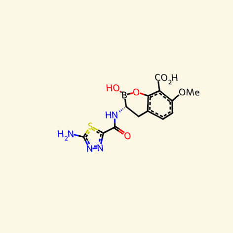 COc1ccc2c(c1C(=O)O)OB(O)[C@@H](NC(=O)c1nnc(N)s1)C2